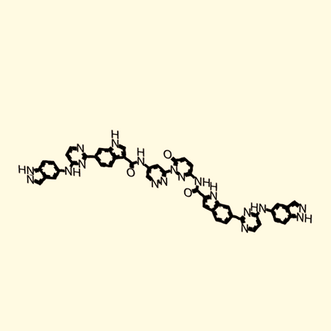 O=C(Nc1ccc(=O)n(-c2cc(NC(=O)c3c[nH]c4cc(-c5nccc(Nc6ccc7[nH]ncc7c6)n5)ccc34)cnn2)n1)c1cc2ccc(-c3nccc(Nc4ccc5[nH]ncc5c4)n3)cc2[nH]1